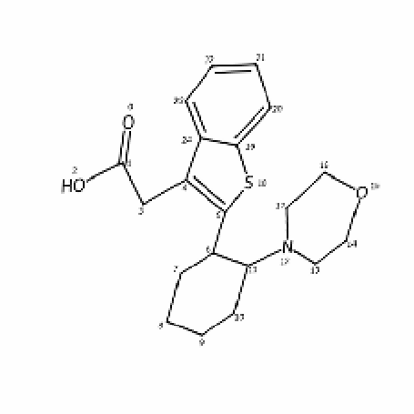 O=C(O)Cc1c(C2CCCCC2N2CCOCC2)sc2ccccc12